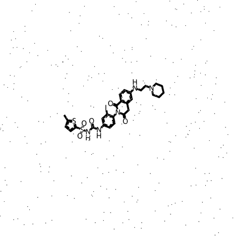 Cc1ccc(S(=O)(=O)NC(=O)Nc2ccc(N3C(=O)Cc4cc(NCCN5CCCCC5)ccc4C3=O)c(I)c2)s1